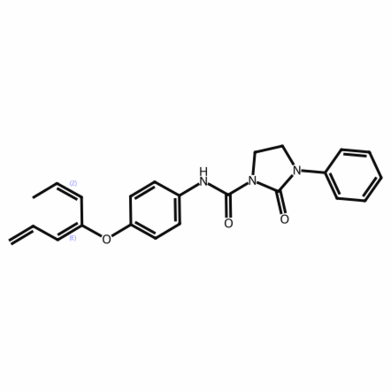 C=C/C=C(\C=C/C)Oc1ccc(NC(=O)N2CCN(c3ccccc3)C2=O)cc1